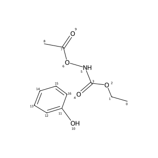 CCOC(=O)NOC(C)=O.Oc1ccccc1